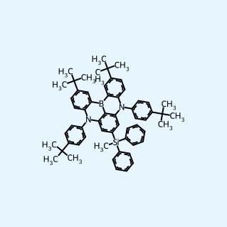 CC(C)(C)c1ccc(N2c3ccc(C(C)(C)C)cc3B3c4cc(C(C)(C)C)ccc4N(c4ccc(C(C)(C)C)cc4)c4cc([Si](C)(c5ccccc5)c5ccccc5)cc2c43)cc1